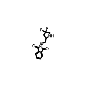 O=C1c2ccccc2C(=O)N1OCC1CC(F)(F)CN1